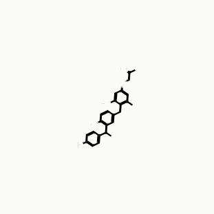 CC(=O)COc1cc(C)c(Cc2ccc(O)c(C(C)c3ccc(F)cc3)c2)c(Br)c1